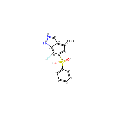 O=Cc1cc(S(=O)(=O)c2ccccc2)c(F)c2[nH]ncc12